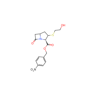 O=C(OCc1ccc([N+](=O)[O-])cc1)[C@@H]1C(SCCO)CC2CC(=O)N21